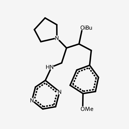 COc1ccc(CC(OCC(C)C)C(CNc2cnccn2)N2CCCC2)cc1